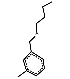 CCCCOCc1cccc(C)c1